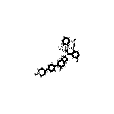 COCOc1ccc(F)cc1C(C(=O)Nc1ccccc1N)n1cc2cc(F)c(-c3ccc(C4CCN(C)CC4)cc3)cc2n1